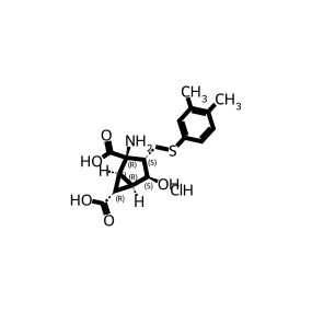 Cc1ccc(SC[C@@H]2[C@@H](O)[C@H]3[C@H](C(=O)O)[C@H]3[C@]2(N)C(=O)O)cc1C.Cl